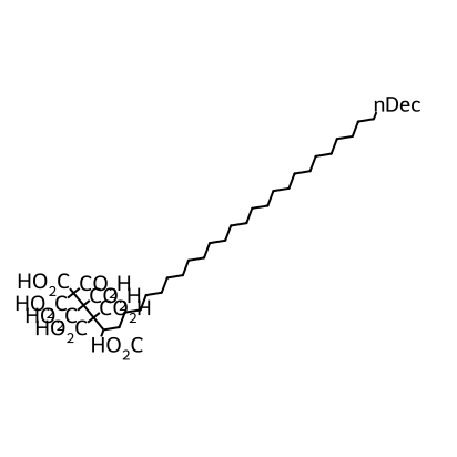 CCCCCCCCCCCCCCCCCCCCCCCCCCCCCCCCCCCC(C(=O)O)C(C(=O)O)(C(=O)O)C(C(=O)O)(C(=O)O)C(C(=O)O)(C(=O)O)C(=O)O